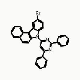 Brc1ccc2c(c1)c1c3ccccc3ccc1n2-c1cc(-c2ccccc2)nc(-c2ccccc2)n1